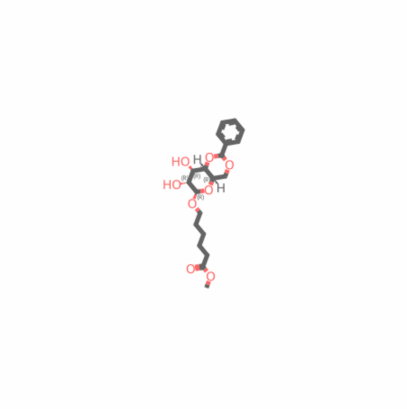 COC(=O)CCCCCO[C@@H]1O[C@@H]2COC(c3ccccc3)O[C@@H]2[C@H](O)[C@H]1O